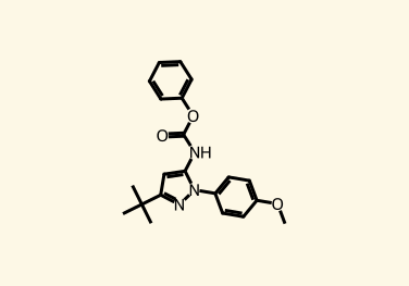 COc1ccc(-n2nc(C(C)(C)C)cc2NC(=O)Oc2ccccc2)cc1